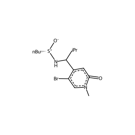 CCCC[S@+]([O-])NC(c1cc(=O)n(C)cc1Br)C(C)C